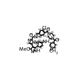 COc1n[nH]c(-c2ccc(N)cn2)c1-c1cnc(C(=O)NCc2ccc(C(=O)N3CCN(C(=O)C4CCN(C)CC4)CC3)c(Cl)c2)[nH]1